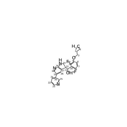 CCCCOc1ccc(F)c(C(O)C2CNc3ncc(-c4cccnc4)cc32)c1F